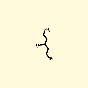 CC(C)CCC(N)CCN